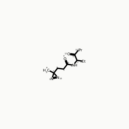 CCC(NC(=O)CCC1(C)N=N1)C(=O)C(C)C